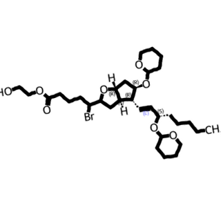 CCCCC[C@@H](/C=C/[C@@H]1[C@H]2CC(C(Br)CCCC(=O)OCCO)O[C@@H]2C[C@H]1OC1CCCCO1)OC1CCCCO1